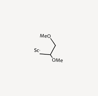 COCC(C)OC.[Sc]